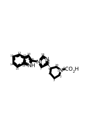 O=C(O)N1CCC[C@H](c2cn(-c3cc4ccccc4[nH]3)cn2)C1